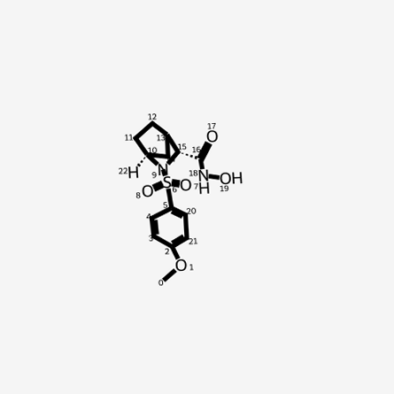 COc1ccc(S(=O)(=O)N2[C@H]3CCC(C3)[C@@H]2C(=O)NO)cc1